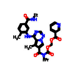 CCCN(C(=O)OCOC(=O)c1cccnc1)C(=O)c1cn2ncnc(Nc3cc(C(=O)NCC)ccc3C)c2c1C